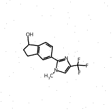 Cn1cc(C(F)(F)F)nc1-c1ccc2c(c1)CCC2O